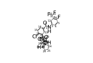 O=C(Nc1ccc(F)c(C(F)F)c1)c1ccc(Cl)c(S(=O)(=O)[C@H]2CC3CC[C@H](C2)[C@]3(O)CO)c1